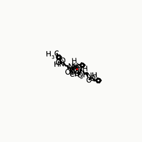 COC(=O)[C@@](N)(CCCCNS(=O)(=O)c1ccc(C)cc1)C(=O)N[C@@H](Cc1ccccc1)C(=O)N[C@@H](CCCCNC(=O)OCc1ccccc1)C(=O)O